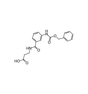 O=C(O)CCNC(=O)c1cccc(NC(=O)OCc2ccccc2)c1